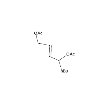 CCCCC(/C=C/COC(C)=O)OC(C)=O